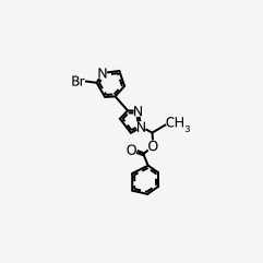 CC(OC(=O)c1ccccc1)n1ccc(-c2ccnc(Br)c2)n1